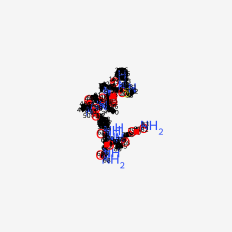 CC[C@H](C)[C@@H]([C@@H](CC(=O)N1CCC[C@H]1[C@H](OC)[C@@H](C)C(=O)N[C@@H](Cc1ccccc1)c1nccs1)OC)N(C)C(=O)[C@@H](NC(=O)[C@H](C(C)C)N(C)C(=O)OCc1ccc(NC(=O)[C@H](CCCNC(N)=O)NC(=O)[C@@H](NC(=O)CCOCCON)C(C)C)cc1)C(C)C